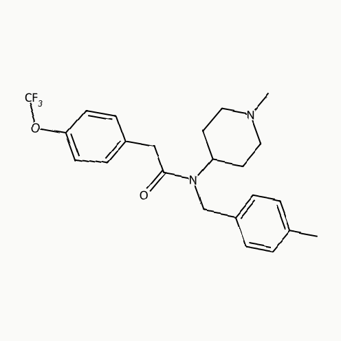 Cc1ccc(CN(C(=O)Cc2ccc(OC(F)(F)F)cc2)C2CCN(C)CC2)cc1